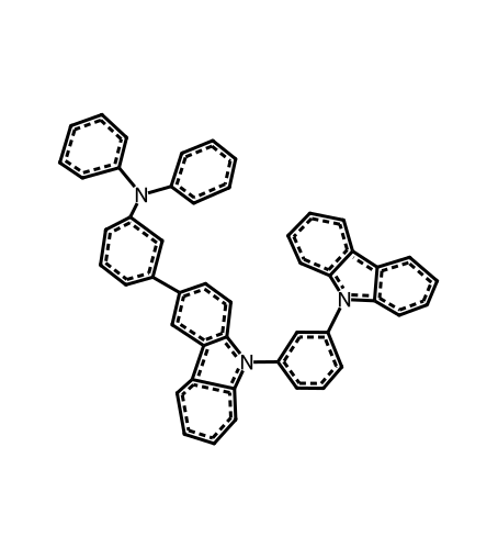 c1ccc(N(c2ccccc2)c2cccc(-c3ccc4c(c3)c3ccccc3n4-c3cccc(-n4c5ccccc5c5ccccc54)c3)c2)cc1